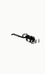 CCCCCCCCCCCCCCCCCCC1C[C@@]2(C)C(CC[C@]3(C)[C@@H]2C(=O)C=C2[C@H]4C[C@@](C)(C(=O)O)CC[C@]4(C)CC[C@]23C)C(C)(C)C1=O